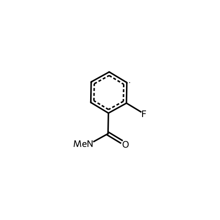 CNC(=O)c1ccc[c]c1F